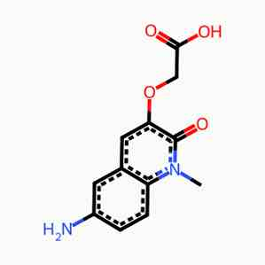 Cn1c(=O)c(OCC(=O)O)cc2cc(N)ccc21